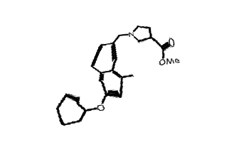 COC(=O)C1CCN(Cc2ccc3cc(OC4CCCCC4)cc(C)c3c2)C1